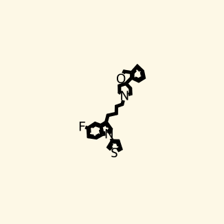 Fc1ccc2c(c1)c(CCCCN1CCC3(CC1)OCc1ccccc13)cn2-c1ccsc1